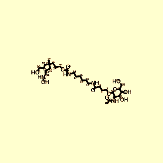 CC(=O)NC1C(OCCCC(=O)NCCCCCCNC(=O)OCCCC(C)(CCCO)CCCNO)OC(CO)C(O)C1O